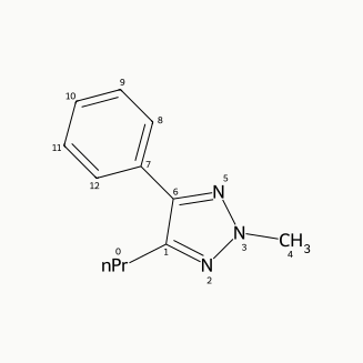 CCCc1nn(C)nc1-c1ccccc1